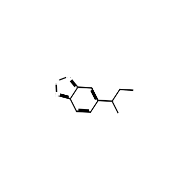 CCC(C)c1ccc2nonc2c1